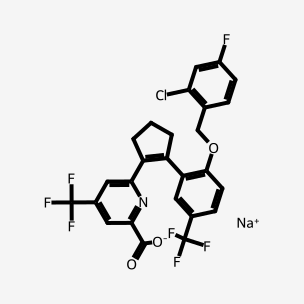 O=C([O-])c1cc(C(F)(F)F)cc(C2=C(c3cc(C(F)(F)F)ccc3OCc3ccc(F)cc3Cl)CCC2)n1.[Na+]